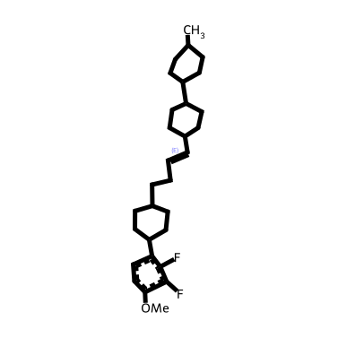 COc1ccc(C2CCC(CC/C=C/C3CCC(C4CCC(C)CC4)CC3)CC2)c(F)c1F